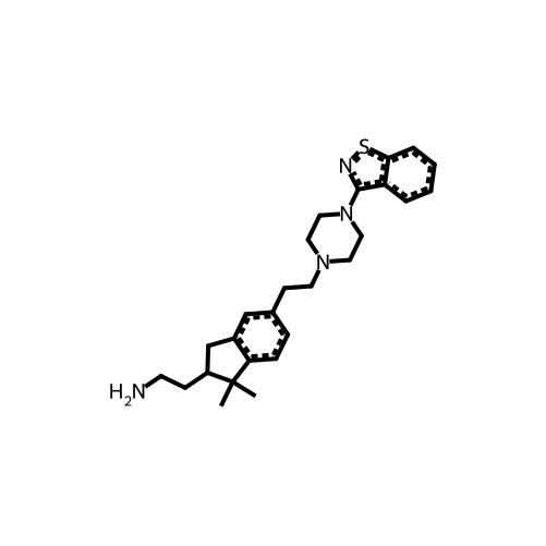 CC1(C)c2ccc(CCN3CCN(c4nsc5ccccc45)CC3)cc2CC1CCN